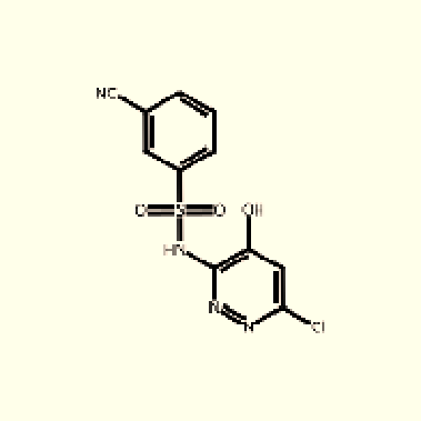 N#Cc1cccc(S(=O)(=O)Nc2nnc(Cl)cc2O)c1